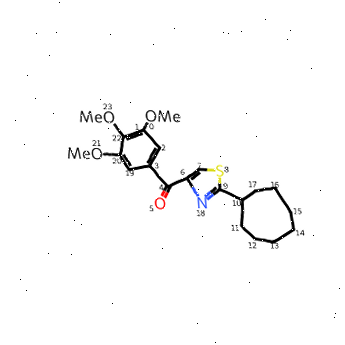 COc1cc(C(=O)c2csc(C3CCCCCCC3)n2)cc(OC)c1OC